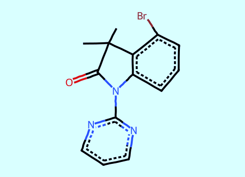 CC1(C)C(=O)N(c2ncccn2)c2cccc(Br)c21